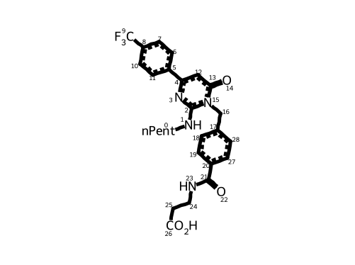 CCCCCNc1nc(-c2ccc(C(F)(F)F)cc2)cc(=O)n1Cc1ccc(C(=O)NCCC(=O)O)cc1